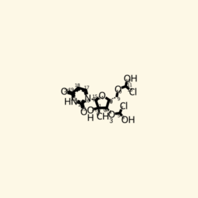 C[C@]1(O)[C@H](OC(O)Cl)[C@@H](COC(O)Cl)O[C@H]1n1ccc(=O)[nH]c1=O